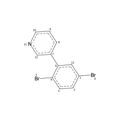 Brc1ccc(Br)c(-c2c[c]cnc2)c1